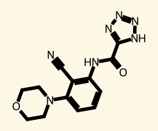 N#Cc1c(NC(=O)c2nnn[nH]2)cccc1N1CCOCC1